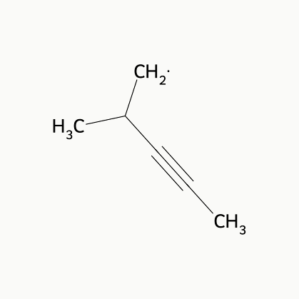 [CH2]C(C)C#CC